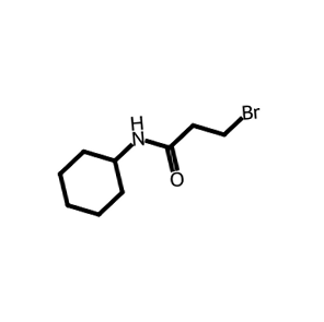 O=C(CCBr)NC1CCCCC1